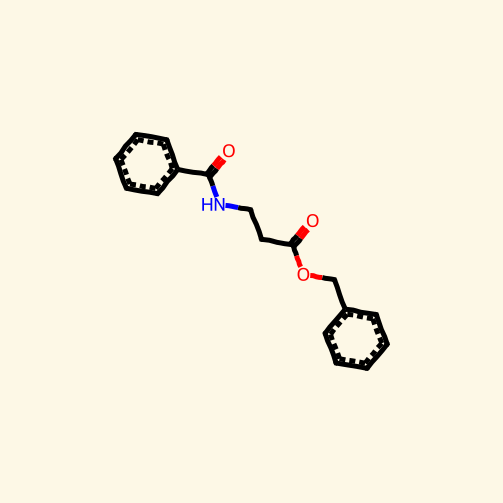 O=C(CCNC(=O)c1ccccc1)OCc1ccccc1